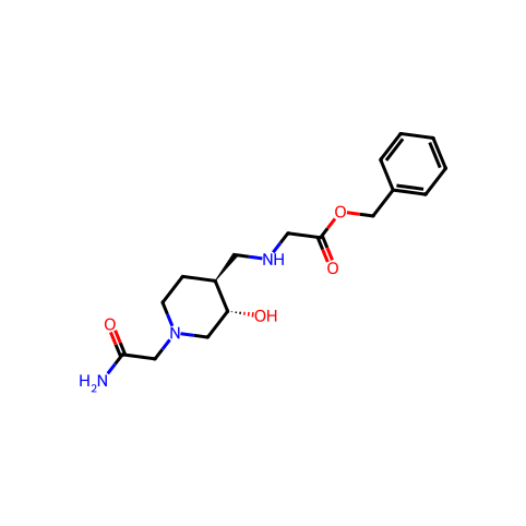 NC(=O)CN1CC[C@@H](CNCC(=O)OCc2ccccc2)[C@H](O)C1